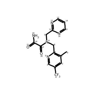 Cc1cc(C(F)(F)F)cnc1CN(Cc1ncccn1)C(=O)C(N)=O